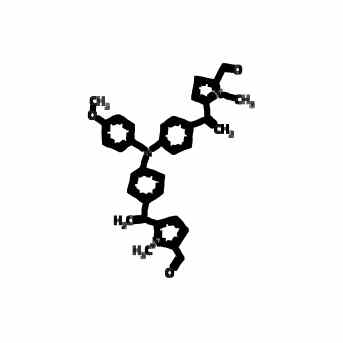 C=C(c1ccc(N(c2ccc(OC)cc2)c2ccc(C(=C)c3ccc(C=O)n3C)cc2)cc1)c1ccc(C=O)n1C